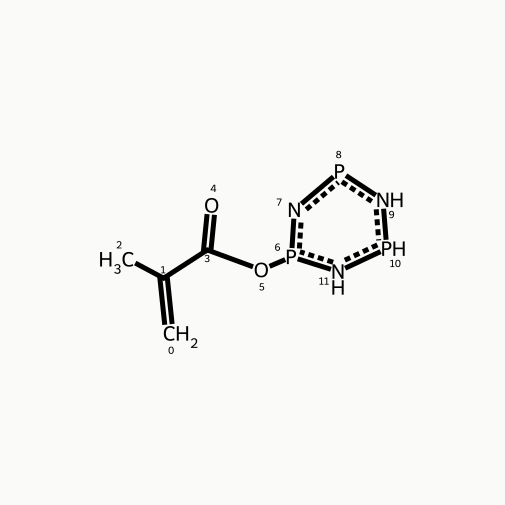 C=C(C)C(=O)Op1np[nH][pH][nH]1